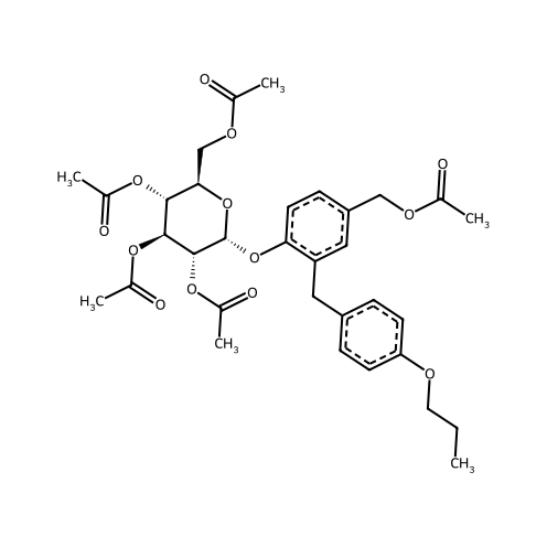 CCCOc1ccc(Cc2cc(COC(C)=O)ccc2O[C@H]2O[C@H](COC(C)=O)[C@@H](OC(C)=O)[C@H](OC(C)=O)[C@H]2OC(C)=O)cc1